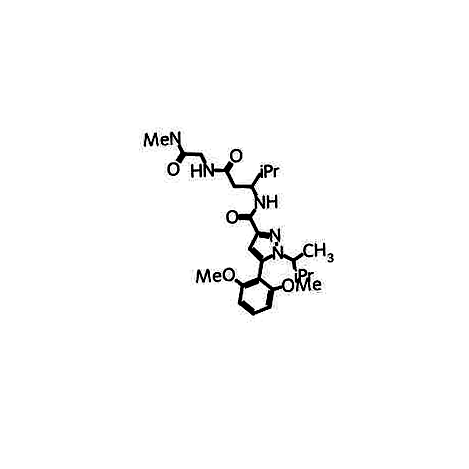 CNC(=O)CNC(=O)CC(NC(=O)c1cc(-c2c(OC)cccc2OC)n(C(C)C(C)C)n1)C(C)C